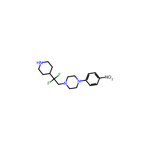 O=[N+]([O-])c1ccc(N2CCN(CC(F)(F)C3CCNCC3)CC2)cc1